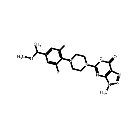 COC(C)c1cc(F)c(N2CCN(c3nc4c(nnn4C)c(=O)[nH]3)CC2)c(F)c1